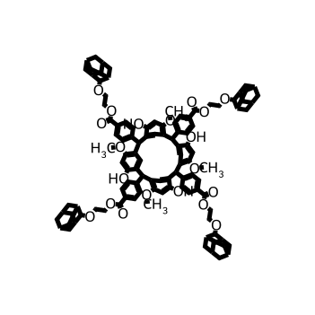 COc1cc(O)c2cc1C(c1ccc(C(=O)OCCOC3C4CC5CC(C4)CC3C5)cc1)c1cc(c(OC)cc1O)C(c1ccc(C(=O)OCCOC3C4CC5CC(C4)CC3C5)cc1)c1cc(c(OC)cc1O)C(c1ccc(C(=O)OCCOC3C4CC5CC(C4)CC3C5)cc1)c1cc(c(OC)cc1O)C2c1ccc(C(=O)OCCOC2C3CC4CC(C3)CC2C4)cc1